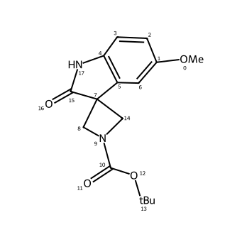 COc1ccc2c(c1)C1(CN(C(=O)OC(C)(C)C)C1)C(=O)N2